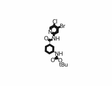 CC(C)(C)OC(=O)N[C@@H]1CCC[C@H](C(=O)Nc2cc(Br)c(Cl)cn2)C1